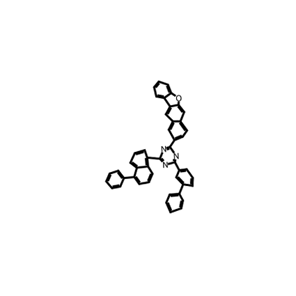 c1ccc(-c2cccc(-c3nc(-c4ccc5cc6oc7ccccc7c6cc5c4)nc(-c4cccc5c(-c6ccccc6)cccc45)n3)c2)cc1